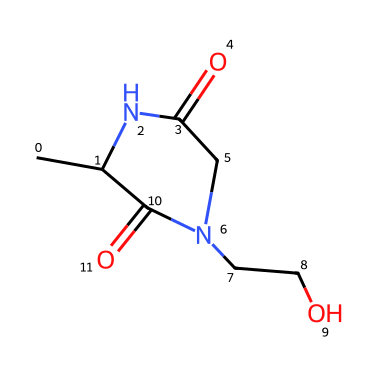 CC1NC(=O)CN(CCO)C1=O